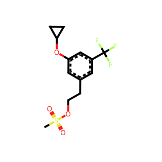 CS(=O)(=O)OCCc1cc(OC2CC2)cc(C(F)(F)F)c1